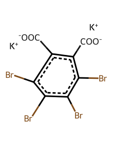 O=C([O-])c1c(Br)c(Br)c(Br)c(Br)c1C(=O)[O-].[K+].[K+]